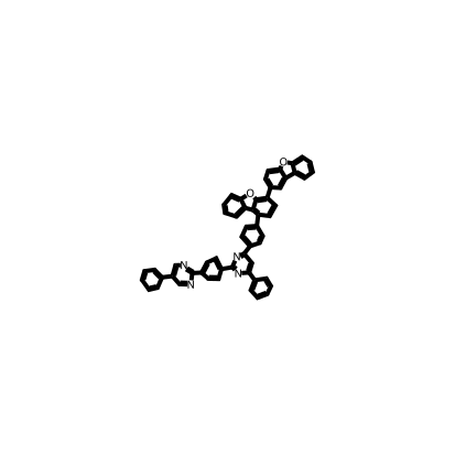 c1ccc(-c2cnc(-c3ccc(-c4nc(-c5ccccc5)cc(-c5ccc(-c6ccc(-c7ccc8oc9ccccc9c8c7)c7oc8ccccc8c67)cc5)n4)cc3)nc2)cc1